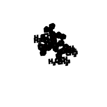 CC(C)(C)c1cc(-c2ccccc2)c(N2c3cc(-n4c5ccccc5c5ccccc54)ccc3B3c4ccc(-n5c6ccc(C(C)(C)C)cc6c6cc(C(C)(C)C)ccc65)cc4N(c4cc(-c5ccccc5)cc(-c5ccccc5)c4)c4cc(-n5c6ccccc6c6cc(-n7c8ccccc8c8ccccc87)ccc65)cc2c43)c(-c2ccccc2)c1